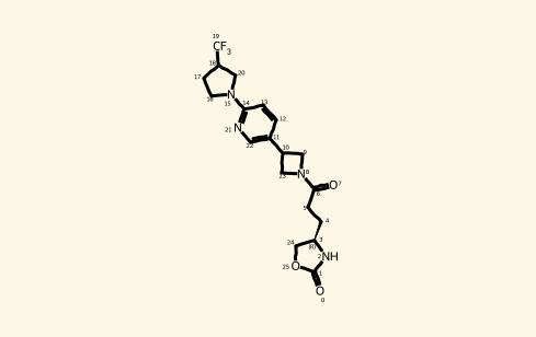 O=C1N[C@H](CCC(=O)N2CC(c3ccc(N4CCC(C(F)(F)F)C4)nc3)C2)CO1